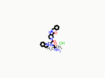 CC(C)(N)C(=O)N[C@H](Cn1ccc2ccccc21)C(=O)N1CCC2=NN(Cc3ccccc3)C(=O)C2C1.Cl